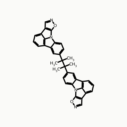 CC(C)(c1ccc2c(c1)c1cccc3c4cnoc4n2c13)C(C)(C)c1ccc2c(c1)c1cccc3c4cnoc4n2c13